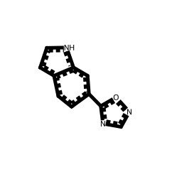 c1noc(-c2ccc3cc[nH]c3c2)n1